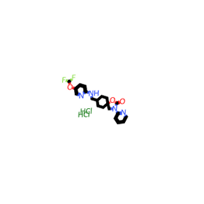 Cl.Cl.O=C1OC2(CCC(CNc3ccc(OC(F)F)cn3)CC2)CN1c1ccccn1